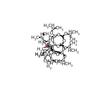 C[SiH](C)OC1O[Si]2(O[SiH](C)C)O[Si]3(O[SiH](C)C)O[Si](O[SiH3])(O[SiH](C)C)O[Si]4(O[SiH](C)C)O[Si](O[SiH](C)C)(O1)O[Si](O[SiH](C)C)(O2)O[Si](O[SiH](C)C)(O3)O4